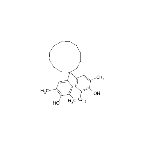 Cc1cc(C2(c3cc(C)c(O)c(C)c3)CCCCCCCCCCC2)cc(C)c1O